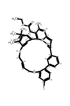 CCOC(=O)[C@@H](OC(C)(C)C)c1c(C)nc2cc3nn2c1-c1ccc(C)c(c1)OC/C=C/COc1cc(F)ccc1-c1cccc-3c1